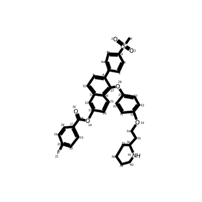 CS(=O)(=O)c1ccc(-c2ccc3cc(OC(=O)c4ccc(F)cc4)ccc3c2Oc2ccc(OCCC3CCCCN3)cc2)cc1